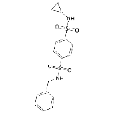 O=S(=O)(NCc1ccccc1)c1ccc(S(=O)(=O)NC2CC2)cc1